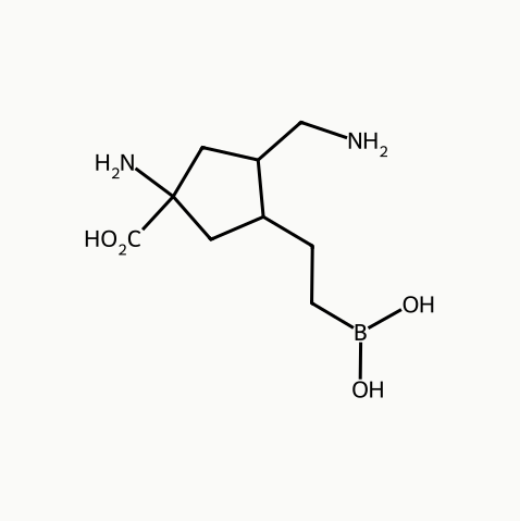 NCC1CC(N)(C(=O)O)CC1CCB(O)O